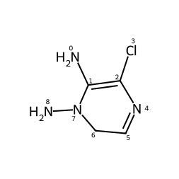 NC1=C(Cl)N=CCN1N